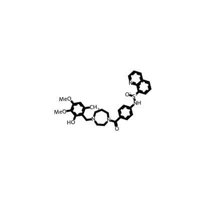 COc1cc(C)c(CN2CCCN(C(=O)c3ccc(N[S+]([O-])c4cccc5cccnc45)cc3)CC2)c(O)c1OC